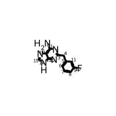 Nc1nc(Cc2cccc(F)c2)nc2[nH]cnc12